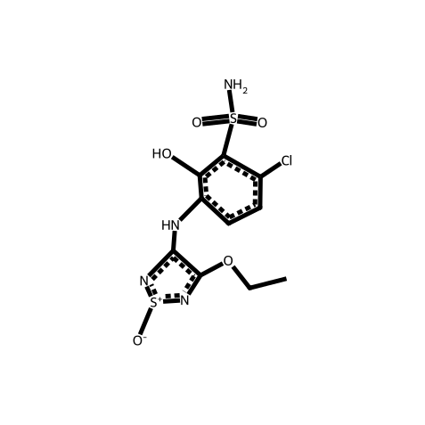 CCOc1n[s+]([O-])nc1Nc1ccc(Cl)c(S(N)(=O)=O)c1O